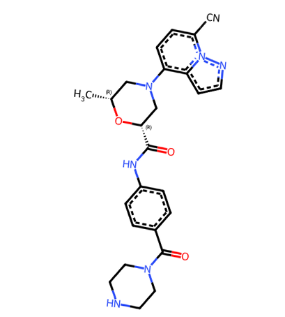 C[C@@H]1CN(c2ccc(C#N)n3nccc23)C[C@H](C(=O)Nc2ccc(C(=O)N3CCNCC3)cc2)O1